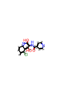 Cc1ccc2nc(O)c(NC(=O)c3ccncc3)c(O)c2c1Cl